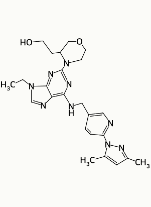 CCn1cnc2c(NCc3ccc(-n4nc(C)cc4C)nc3)nc(N3CCOCC3CCO)nc21